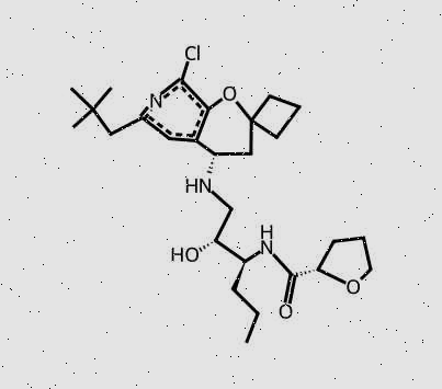 CCC[C@H](NC(=O)[C@@H]1CCCO1)[C@H](O)CN[C@H]1CC2(CCC2)Oc2c1cc(CC(C)(C)C)nc2Cl